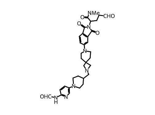 CNC(=O)C(CCC=O)N1C(=O)c2ccc(N3CCC4(CC3)CN(CC3CCN(c5ccc(NC=O)nc5)CC3)C4)cc2C1=O